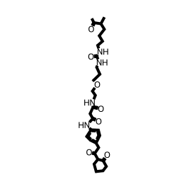 CC(=O)C(C)CCCCNC(=O)NCCCOCCNC(=O)CC(=O)Nc1ccc(CC(=O)C2CCCCC2=O)cc1